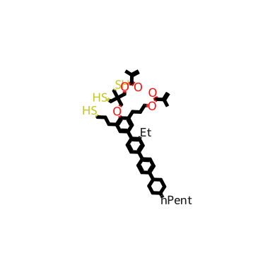 C=C(C)C(=O)OCCCc1cc(-c2ccc(-c3ccc(C4CCC(CCCCC)CC4)cc3)cc2CC)cc(CCCS)c1OCC(CS)(CS)COC(=O)C(=C)C